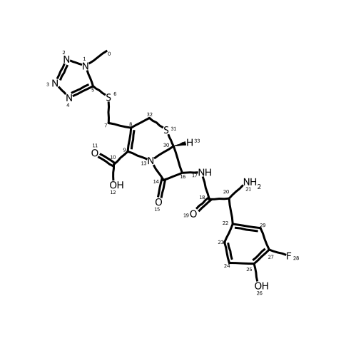 Cn1nnnc1SCC1=C(C(=O)O)N2C(=O)C(NC(=O)C(N)c3ccc(O)c(F)c3)[C@H]2SC1